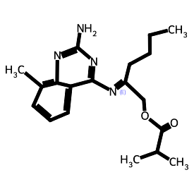 CCCC/C(COC(=O)C(C)C)=N\c1nc(N)nc2c(C)cccc12